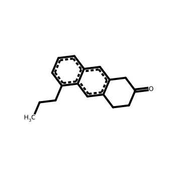 CCCc1cccc2cc3c(cc12)CCC(=O)C3